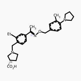 CCc1cc(/C(C)=N/OCc2ccc(N3CCCC3)c(C)c2)ccc1CN1CC[C@H](C(=O)O)C1